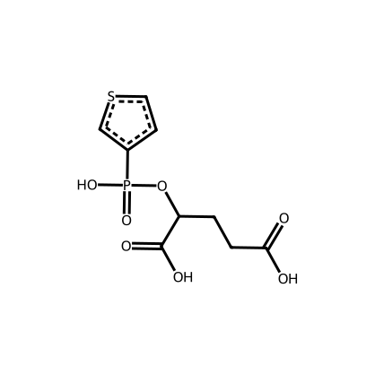 O=C(O)CCC(OP(=O)(O)c1ccsc1)C(=O)O